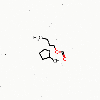 CC1CCCC1.CCCCOC=O